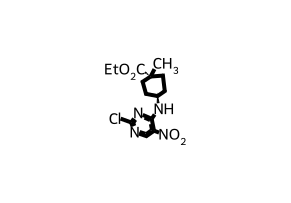 CCOC(=O)[C@]1(C)CC[C@@H](Nc2nc(Cl)ncc2[N+](=O)[O-])CC1